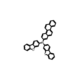 c1ccc2c(c1)ccc1c3ccc(N(c4ccc5c(c4)oc4ccccc45)c4ccc5c(c4)sc4ccccc45)cc3ccc21